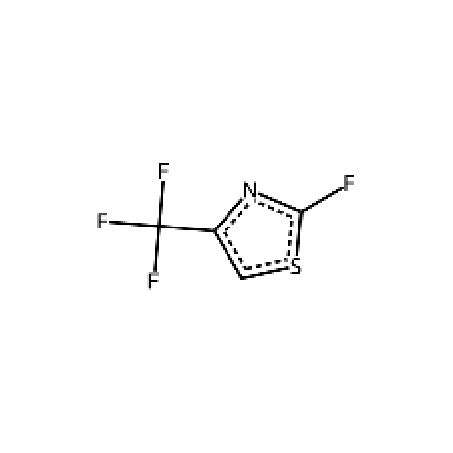 Fc1nc(C(F)(F)F)cs1